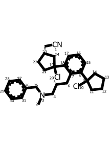 CC#N.CN(CCCc1c(C2(Cl)CCCC2)cccc1C1(Cl)CCCC1)Cc1ccccc1